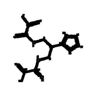 C=C(C)C(=C)OCC(COC(=O)C(=C)C)c1cscn1